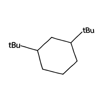 CC(C)(C)C1CCCC(C(C)(C)C)C1